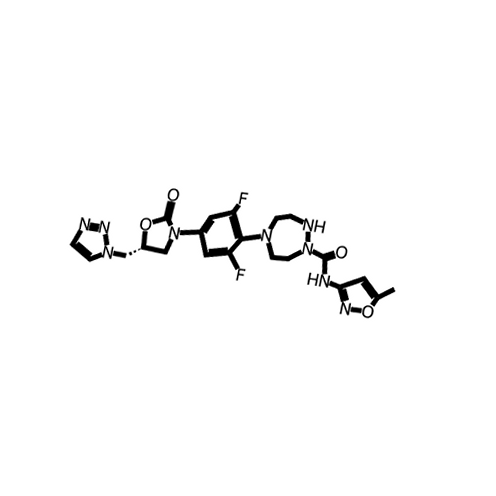 Cc1cc(NC(=O)N2CCN(c3c(F)cc(N4C[C@H](Cn5ccnn5)OC4=O)cc3F)CCN2)no1